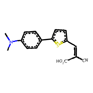 CN(C)c1ccc(-c2ccc(C=C(C#N)C(=O)O)s2)cc1